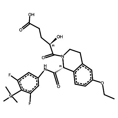 CCOc1ccc2c(c1)CCN(C(=O)[C@H](O)CCC(=O)O)[C@H]2C(=O)Nc1cc(F)c([Si](C)(C)C)c(F)c1